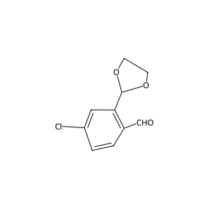 O=Cc1ccc(Cl)cc1C1OCCO1